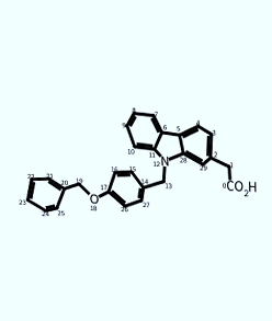 O=C(O)Cc1ccc2c3ccccc3n(Cc3ccc(OCc4ccccc4)cc3)c2c1